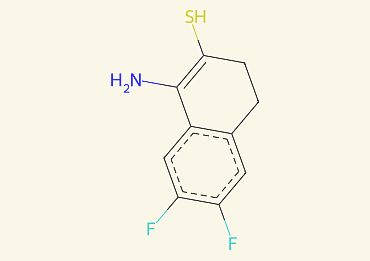 NC1=C(S)CCc2cc(F)c(F)cc21